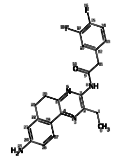 CCc1nc2c(nc1NC(=O)Cc1ccc(F)c(F)c1)CCc1cc(N)ccc1-2